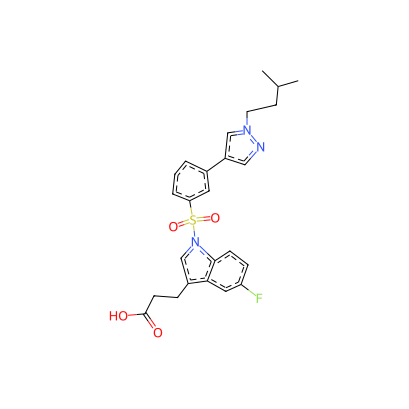 CC(C)CCn1cc(-c2cccc(S(=O)(=O)n3cc(CCC(=O)O)c4cc(F)ccc43)c2)cn1